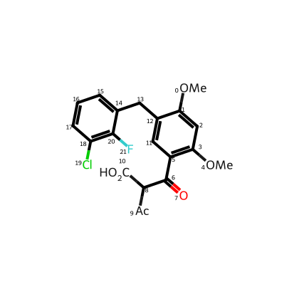 COc1cc(OC)c(C(=O)C(C(C)=O)C(=O)O)cc1Cc1cccc(Cl)c1F